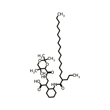 CCCCCCCCCCCCCCCCC(CCC)C(=O)NC1CCCCC1C(CNC(=O)C1OC(C)(C)OCC1(C)C)C(=O)O